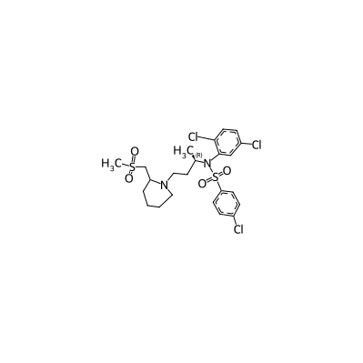 C[C@H](CCN1CCCCC1CS(C)(=O)=O)N(c1cc(Cl)ccc1Cl)S(=O)(=O)c1ccc(Cl)cc1